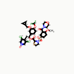 COc1ccc(S(=O)(=O)N2CCSC2C(=O)O[C@@H](Cc2c(Cl)c[n+]([O-])cc2Cl)c2ccc(OC(F)F)c(OCC3CC3)c2)cc1C(=O)N1CCOCC1